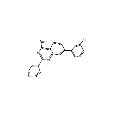 CNc1nc(-c2cccnc2)nc2cc(-c3cccc(Cl)c3)ccc12